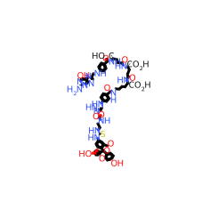 N=N/C(=C\Nc1ccc(C(=O)NCCCC[C@H](NC(=O)CC[C@H](NC(=O)CC[C@H](NC(=O)c2ccc(NCc3cnc4nc(N)nc(O)c4n3)cc2)C(=O)O)C(=O)O)C(=O)O)cc1)OC(=O)NCCNC(=S)Nc1ccc2c(c1)C(=O)OC21c2ccc(O)cc2Oc2cc(O)ccc21